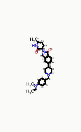 C=CN(C)c1ccc(CN2CCC(c3ccc4c(c3)CN(C3CCC(=C)NC3=O)C4=O)CC2)cc1